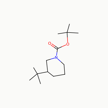 CC(C)(C)OC(=O)N1CCCC(C(C)(C)C)C1